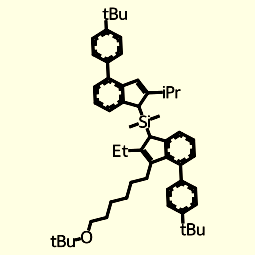 CCC1=C(CCCCCCOC(C)(C)C)c2c(-c3ccc(C(C)(C)C)cc3)cccc2C1[Si](C)(C)C1C(C(C)C)=Cc2c(-c3ccc(C(C)(C)C)cc3)cccc21